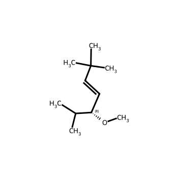 CO[C@@H](C=CC(C)(C)C)C(C)C